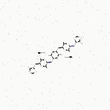 C#CCOc1cc(/C=c2\[nH]c(=O)/c(=C/c3nc[nH]c3C(C)(C)C)[nH]c2=O)c(OCC#C)cc1/C=c1\[nH]c(=O)c(=Cc2nc[nH]c2C(C)(C)C)[nH]c1=O